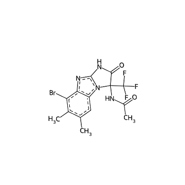 CC(=O)NC1(C(F)(F)F)C(=O)Nc2nc3c(Br)c(C)c(C)cc3n21